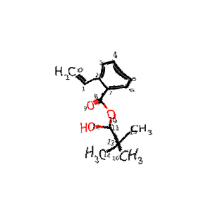 C=Cc1ccccc1C(=O)OC(O)C(C)(C)C